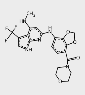 CNc1cc(Nc2ccc(C(=O)N3CCOCC3)c3c2OCO3)nc2[nH]cc(C(F)(F)F)c12